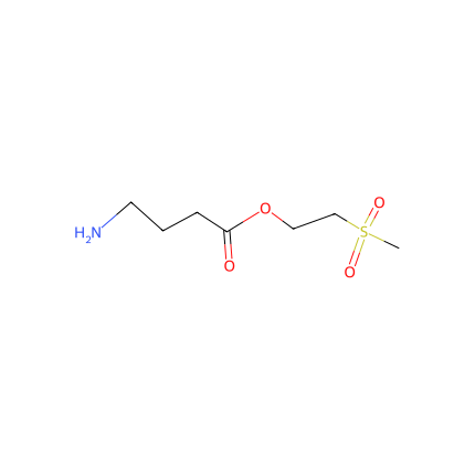 CS(=O)(=O)CCOC(=O)CCCN